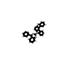 c1ccc(-c2nc(-n3c4ccccc4c4c5c(ccc43)sc3ccccc35)nc3ccccc23)cc1